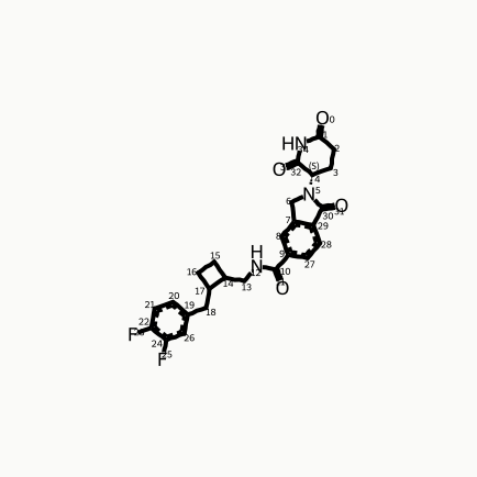 O=C1CC[C@H](N2Cc3cc(C(=O)NCC4CCC4Cc4ccc(F)c(F)c4)ccc3C2=O)C(=O)N1